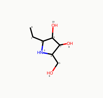 CCC1NC(CO)C(O)C1O